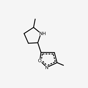 Cc1cc(C2CCC(C)N2)on1